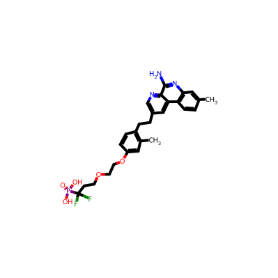 Cc1ccc2c(c1)nc(N)c1ncc(CCc3ccc(OCCOCCC(F)(F)P(=O)(O)O)cc3C)cc12